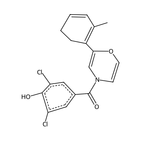 CC1=C(C2=CN(C(=O)c3cc(Cl)c(O)c(Cl)c3)C=CO2)CCC=C1